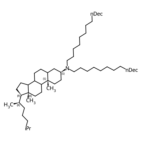 CCCCCCCCCCCCCCCCCCN(CCCCCCCCCCCCCCCCCC)[C@H]1CC[C@@]2(C)C(CCC3C2CC[C@@]2(C)C3CC[C@@H]2[C@H](C)CCCC(C)C)C1